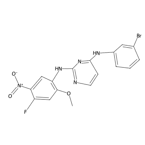 COc1cc(F)c([N+](=O)[O-])cc1Nc1nccc(Nc2cccc(Br)c2)n1